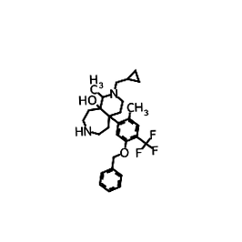 Cc1cc(C(F)(F)F)c(OCc2ccccc2)cc1C12CCNCCC1(O)C(C)N(CC1CC1)CC2